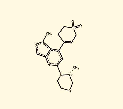 C[C@@H]1COCCN1c1cc(C2=CCS(=O)(=O)CC2)c2c(cnn2C)n1